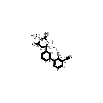 CN1C(=N)N[C@](C)(c2cccc(-c3cccc(C#N)c3F)c2)CC1=O